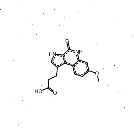 COc1ccc2c(c1)[nH]c(=O)c1[nH]cc(CCC(=O)O)c12